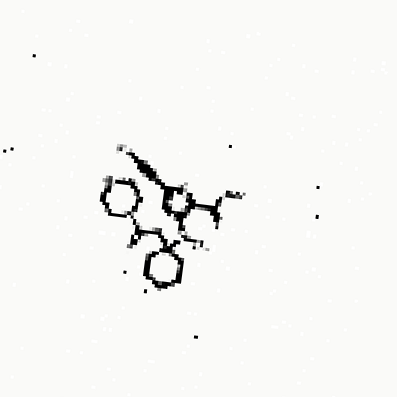 COC(=O)c1sc(C#CC(C)C)cc1N(C(C)=O)C1(CC(=O)N2CCNCC2)CCCCC1